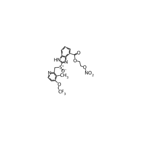 Cc1c(OCC(F)(F)F)ccnc1C[S+]([O-])c1nc2c(C(=O)OCCO[N+](=O)[O-])cccc2[nH]1